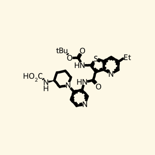 CCc1cnc2c(C(=O)Nc3cnccc3N3CCC[C@H](NC(=O)O)C3)c(NC(=O)OC(C)(C)C)sc2c1